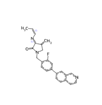 C=C1CN(Cc2ccc(-c3ccc4ccncc4c3)cc2F)C(=O)/C1=N/C=C\C